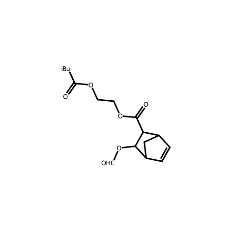 CCC(C)C(=O)OCCOC(=O)C1C2C=CC(C2)C1OC=O